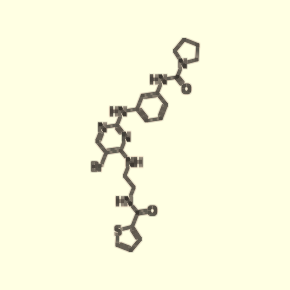 O=C(NCCNc1nc(Nc2cccc(NC(=O)N3CCCC3)c2)ncc1Br)c1cccs1